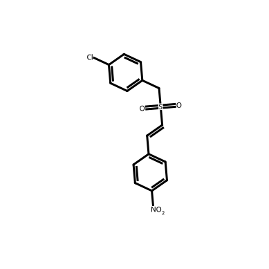 O=[N+]([O-])c1ccc(/C=C/S(=O)(=O)Cc2ccc(Cl)cc2)cc1